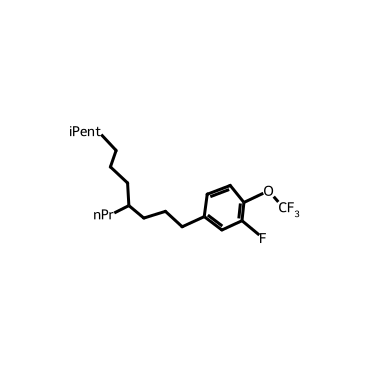 CCCC(C)CCCC(CCC)CCCc1ccc(OC(F)(F)F)c(F)c1